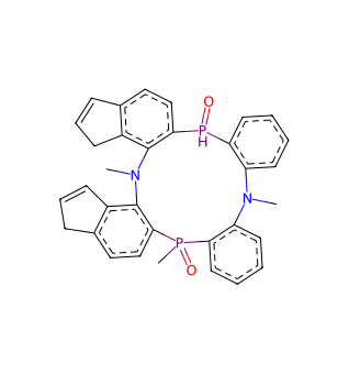 CN1c2ccccc2[PH](=O)c2ccc3c(c2N(C)c2c(ccc4c2C=CC4)P(C)(=O)c2ccccc21)CC=C3